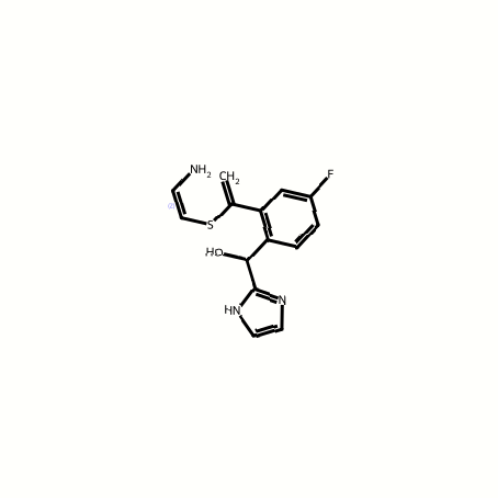 C=C(S/C=C\N)c1cc(F)ccc1C(O)c1ncc[nH]1